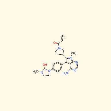 C=CC(=O)N1CCC(c2c(-c3ccc(N4CCN(C)C4O)cc3)c3c(N)ncnc3n2C)C1